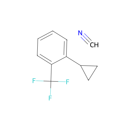 C#N.FC(F)(F)c1ccccc1C1CC1